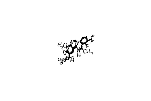 C[C@@H](Nc1ncnc2c1cc(C1(O)CC3(C1)CS(=O)(=O)C3)c(=O)n2C)c1cccc(C(F)F)c1F